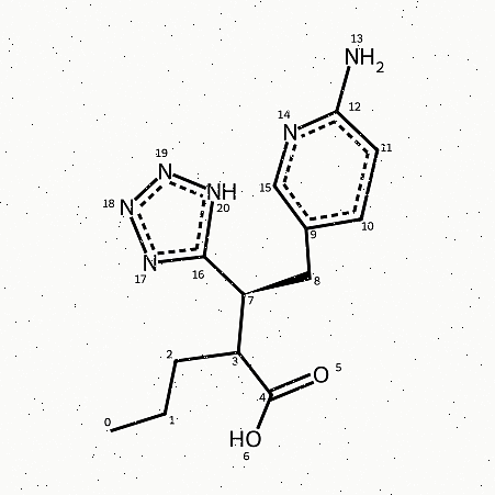 CCCC(C(=O)O)[C@H](Cc1ccc(N)nc1)c1nnn[nH]1